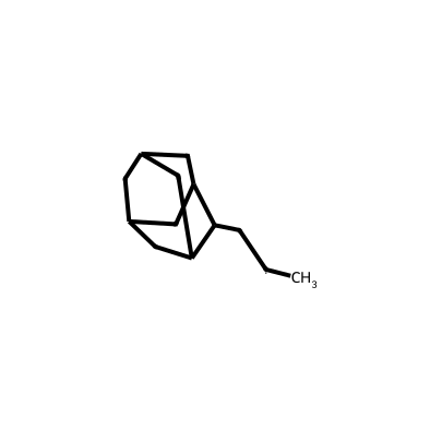 C[CH]CC1C2CC3CC(C2)CC1C3